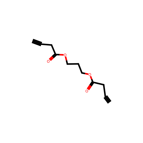 C#CCC(=O)OCCCOC(=O)CC#C